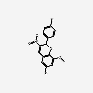 COc1cc(Br)cc2c1OC(c1ccc(F)cc1)C([N+](=O)[O-])=C2